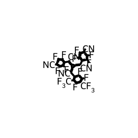 N#CC(=C1C(=C(/C#N)c2c(F)c(F)c(C#N)c(F)c2F)/C1=C(/C#N)c1c(F)c(F)c(C#N)c(F)c1F)c1c(F)c(F)c(C(F)(F)F)c(F)c1C(F)(F)F